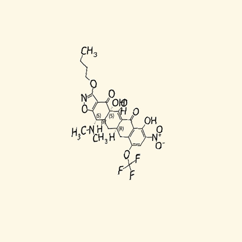 CCCCOc1noc2c1C(=O)[C@@]1(O)C(O)=C3C(=O)c4c(O)c([N+](=O)[O-])cc(OC(F)(F)F)c4C[C@H]3C[C@H]1[C@@H]2N(C)C